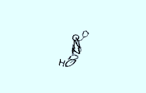 O=C(Cc1ccccc1)N1CCN(c2ccc(O)cc2)CC1